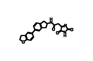 O=C(CC1=NC(=O)NC1=O)NC1Cc2ccc(-c3ccc4c(c3)CCO4)cc2C1